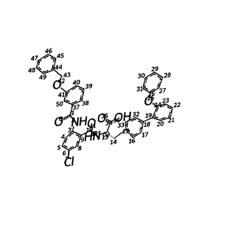 O=C(Nc1ccc(Cl)cc1C(=O)N[C@@H](Cc1ccc(-c2ccccc2Oc2ccccc2)cc1)C(=O)O)c1cccc(OCc2ccccc2)c1